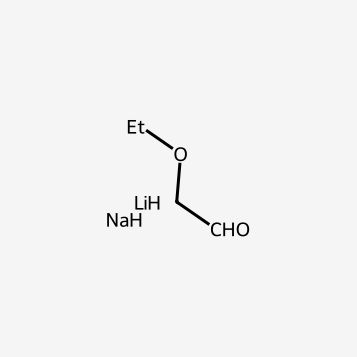 CCOCC=O.[LiH].[NaH]